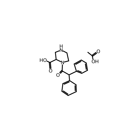 CC(=O)O.O=C(O)C1CNCCN1C(=O)C(c1ccccc1)c1ccccc1